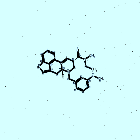 CCN(C)C(=O)[C@H]1C=C2c3cccc4[nH]cc(c34)C[C@H]2N(Cc2cccc(OC)c2)C1